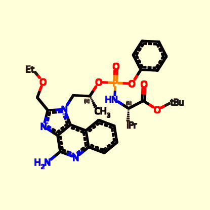 CCOCc1nc2c(N)nc3ccccc3c2n1C[C@@H](C)OP(=O)(N[C@H](C(=O)OC(C)(C)C)C(C)C)Oc1ccccc1